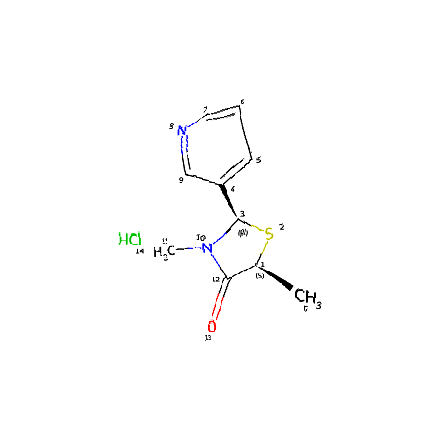 C[C@@H]1S[C@H](c2cccnc2)N(C)C1=O.Cl